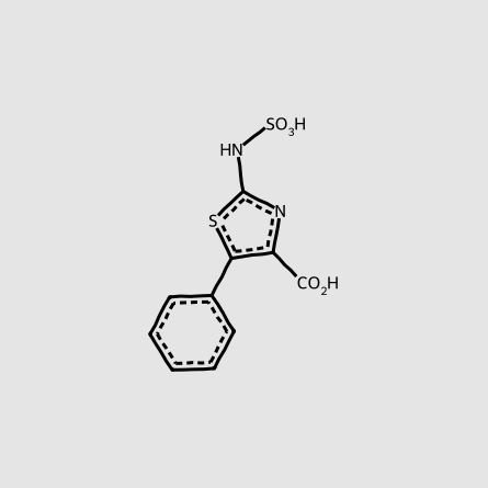 O=C(O)c1nc(NS(=O)(=O)O)sc1-c1ccccc1